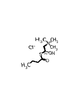 CCCC(=O)S[C@H](O)C[N+](C)(C)C.[Cl-]